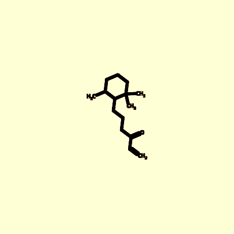 C=CC(=O)CCCC1C(C)CCCC1(C)C